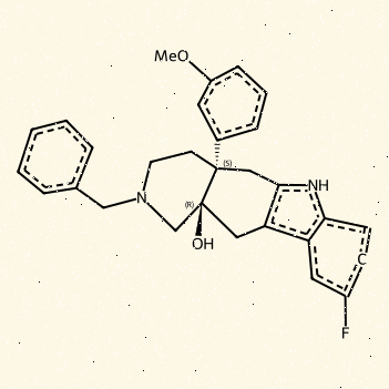 COc1cccc([C@@]23CCN(Cc4ccccc4)C[C@@]2(O)Cc2c([nH]c4ccc(F)cc24)C3)c1